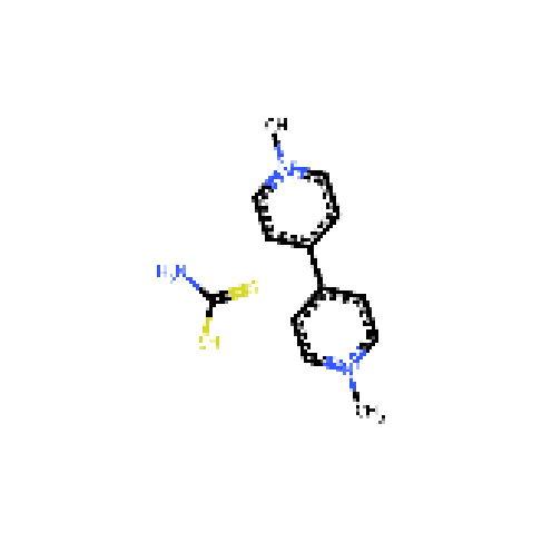 C[n+]1ccc(-c2cc[n+](C)cc2)cc1.NC(=S)S